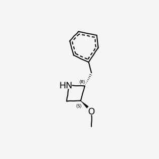 CO[C@H]1CN[C@@H]1Cc1ccccc1